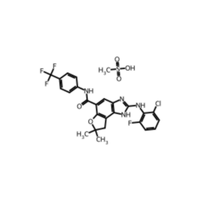 CC1(C)Cc2c(c(C(=O)Nc3ccc(C(F)(F)F)cc3)cc3nc(Nc4c(F)cccc4Cl)[nH]c23)O1.CS(=O)(=O)O